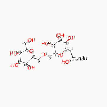 CCCCC(O)CC1OC(COCC2OC(CO)C(O)C(O)C2O)C(O)C(O)C1O